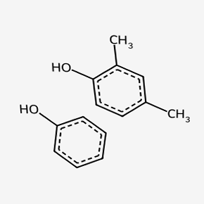 Cc1ccc(O)c(C)c1.Oc1ccccc1